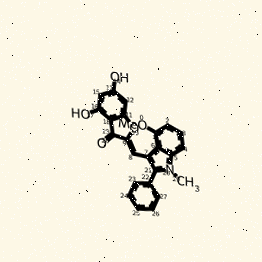 COc1cccc2c1c(C=C1Oc3cc(O)cc(O)c3C1=O)c(-c1ccccc1)n2C